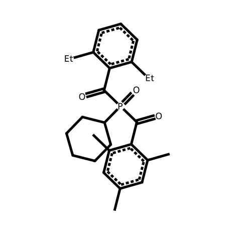 CCc1cccc(CC)c1C(=O)P(=O)(C(=O)c1c(C)cc(C)cc1C)C1CCCCC1